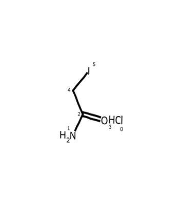 Cl.NC(=O)CI